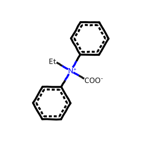 CC[N+](C(=O)[O-])(c1ccccc1)c1ccccc1